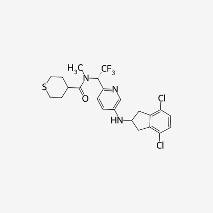 CN(C(=O)C1CCSCC1)[C@@H](c1ccc(NC2Cc3c(Cl)ccc(Cl)c3C2)cn1)C(F)(F)F